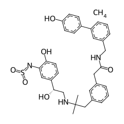 C.CC(C)(Cc1cccc(CC(=O)NCc2cccc(-c3ccc(O)cc3)c2)c1)NC[C@H](O)c1ccc(O)c(N=S(=O)=O)c1